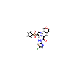 O=C(Nc1ncc(F)s1)C(CC1CCOCC1)n1cc(S(=O)(=O)C2CCCC2)cn1